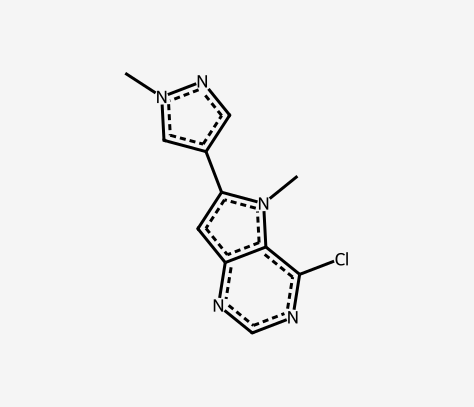 Cn1cc(-c2cc3ncnc(Cl)c3n2C)cn1